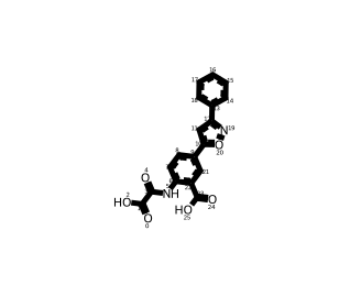 O=C(O)C(=O)Nc1ccc(-c2cc(-c3ccccc3)no2)cc1C(=O)O